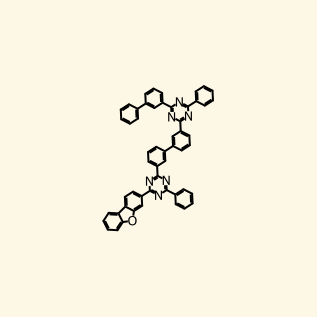 c1ccc(-c2cccc(-c3nc(-c4ccccc4)nc(-c4cccc(-c5cccc(-c6nc(-c7ccccc7)nc(-c7ccc8c(c7)oc7ccccc78)n6)c5)c4)n3)c2)cc1